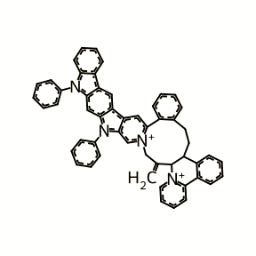 C=C1C[n+]2cc3c(cc2-c2ccccc2CCC2c4ccccc4-c4cccc[n+]4C12)c1cc2c4ccccc4n(-c4ccccc4)c2cc1n3-c1ccccc1